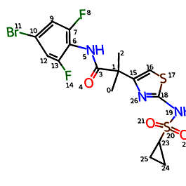 CC(C)(C(=O)Nc1c(F)cc(Br)cc1F)c1csc(NS(=O)(=O)C2CC2)n1